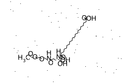 CC(=O)COCCOCCNC(=O)CC[C@H](NC(=O)CCCCCCCCCCCCCCCCCCC(=O)O)C(O)O